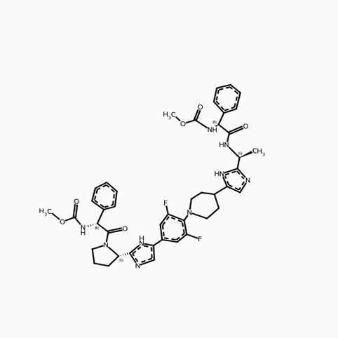 COC(=O)N[C@@H](C(=O)N[C@@H](C)c1ncc(C2CCN(c3c(F)cc(-c4cnc([C@@H]5CCCN5C(=O)[C@H](NC(=O)OC)c5ccccc5)[nH]4)cc3F)CC2)[nH]1)c1ccccc1